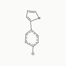 Clc1ccc(C2=CC=C[N]2)cc1